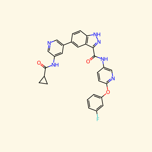 O=C(Nc1ccc(Oc2cccc(F)c2)nc1)c1n[nH]c2ccc(-c3cncc(NC(=O)C4CC4)c3)cc12